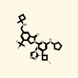 Cn1cnnc1[C@]1(c2cc(NC3CCCC3)nc(N3Cc4c(cc(CNC5(C)CCC5)cc4C(F)(F)F)C3=O)c2)C[C@H](C)C1